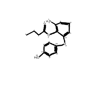 CCCC(=O)Oc1c(N)cccc1Oc1ccc(O)cc1